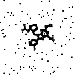 CCOc1nc(N)c2nc(-c3cncc(F)c3)n(Cc3ccccc3OC(F)F)c2n1